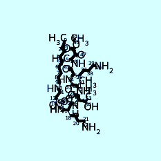 CCCCCCCCCCNCCS(=O)(=O)N[C@@H](CCCCN)C(=O)N[C@H](C(=O)N[C@@H](C)C(=O)N[C@@H](CCCCN)C(=O)N[C@@H](C)C(=O)C(=O)OC)[C@@H](C)O